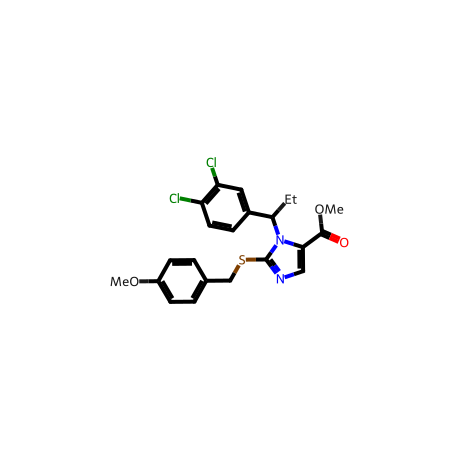 CCC(c1ccc(Cl)c(Cl)c1)n1c(C(=O)OC)cnc1SCc1ccc(OC)cc1